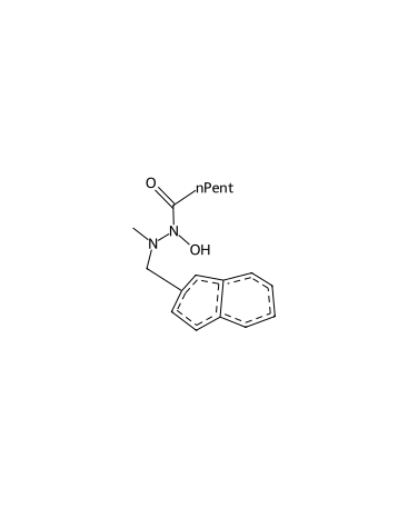 CCCCCC(=O)N(O)N(C)Cc1ccc2ccccc2c1